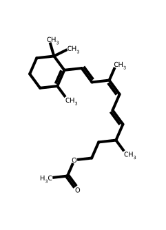 CC(=O)OCCC(C)/C=C/C=C(C)\C=C\C1=C(C)CCCC1(C)C